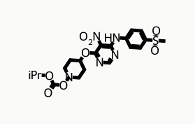 CC(C)OC(=O)ON1CCC(Oc2ncnc(Nc3ccc(S(C)(=O)=O)cc3)c2[N+](=O)[O-])CC1